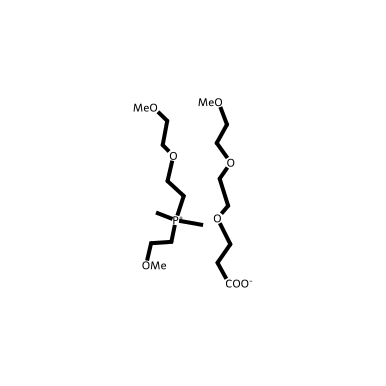 COCCOCCOCCC(=O)[O-].COCCOCC[P+](C)(C)CCOC